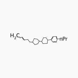 C=C/C=C/CCC1CCC(C2CCC(c3ccc(CCC)cc3)CC2)CC1